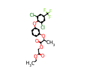 CCOC(=O)COC(=O)C(C)Oc1cccc(Oc2c(Cl)cc(C(F)(F)F)cc2Cl)c1